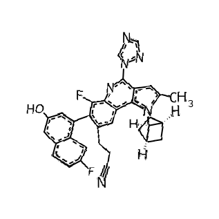 Cc1cc2c(-n3cncn3)nc3c(F)c(-c4cc(O)cc5ccc(F)cc45)c(CCC#N)cc3c2n1[C@@H]1[C@@H]2CC[C@H]1C2